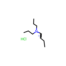 CC/C=C/N(CCC)CCC.Cl